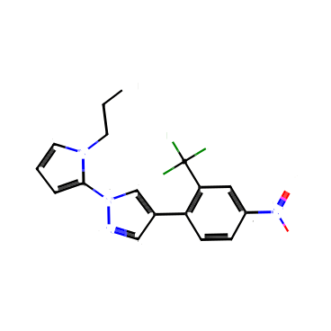 CCCn1cccc1-n1cc(-c2ccc([N+](=O)[O-])cc2C(F)(F)F)cn1